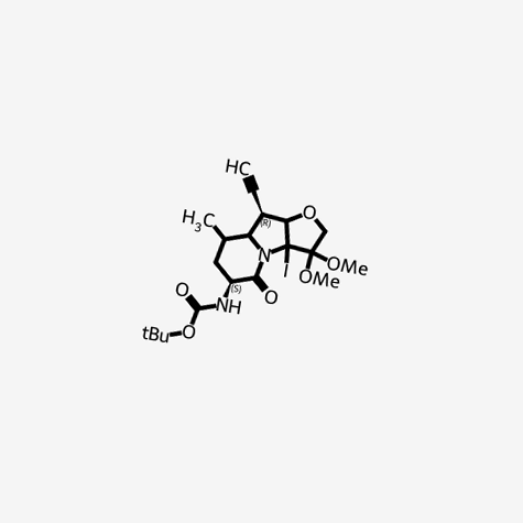 C#C[C@@H]1C2C(C)C[C@H](NC(=O)OC(C)(C)C)C(=O)N2C2(I)C1OCC2(OC)OC